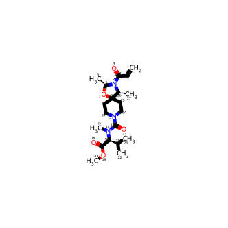 C=CC(=O)N1[C@@H](C)OC2(CCN(C(=O)N(C)[C@H](C(=O)OC)C(C)C)CC2)[C@H]1C